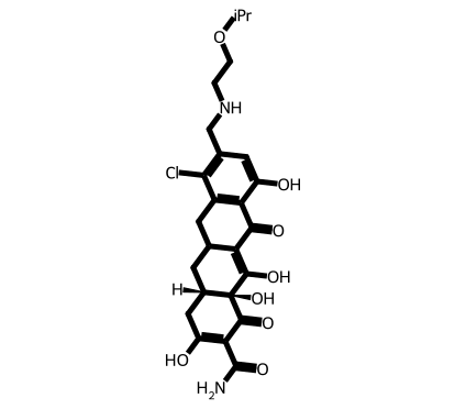 CC(C)OCCNCc1cc(O)c2c(c1Cl)CC1C[C@H]3CC(O)=C(C(N)=O)C(=O)[C@@]3(O)C(O)=C1C2=O